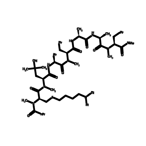 CCCC(=O)N(C)[C@H](CSCCCCN(CC)CC)C(=O)N(C)[C@@H](CC(C)(C)O)C(=O)N[C@H](C(=O)N(C)[C@@H](CC(C)C)C(=O)N[C@H](C)C(=O)N[C@@H](C)C(=O)N(C)[C@@H](CC(C)C)C(=O)NC)C(C)C